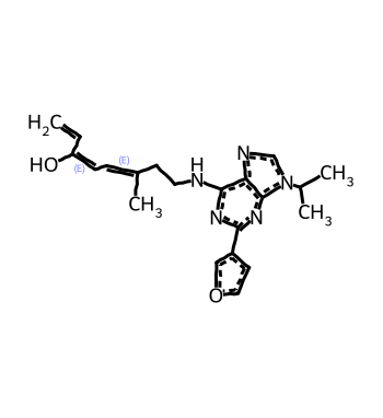 C=C/C(O)=C\C=C(/C)CCNc1nc(-c2ccoc2)nc2c1ncn2C(C)C